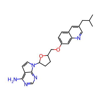 CC(C)Cc1cnc2cc(OCC3CCC(n4ccc5c(N)ncnc54)O3)ccc2c1